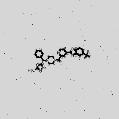 Cc1nnc([C@@H](c2ccccc2)N2CCN(C(=O)c3cc(-c4nc5cc(C(F)(F)F)ccc5o4)ccn3)CC2)o1